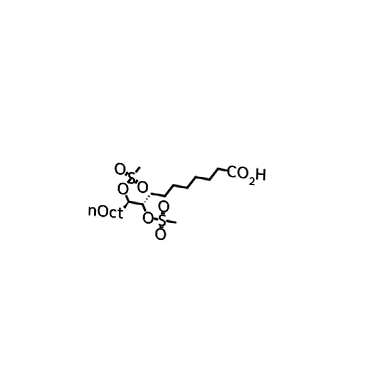 CCCCCCCC[C@@H](OS(C)(=O)=O)[C@H](CCCCCCCC(=O)O)OS(C)(=O)=O